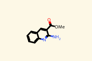 COC(=O)c1cc2ccccc2nc1N